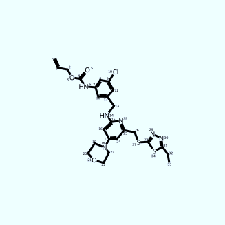 C=CCOC(=O)Nc1cc(Cl)cc(CNc2cc(N3CCOCC3)cc(CSc3nnc(CC)s3)n2)c1